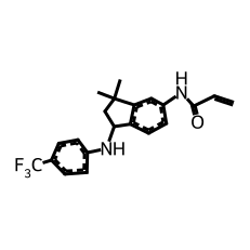 C=CC(=O)Nc1ccc2c(c1)C(C)(C)CC2Nc1ccc(C(F)(F)F)cc1